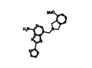 COc1cccc2c1CN(Cc1cnc(N)n3nc(-c4ccco4)nc13)C2